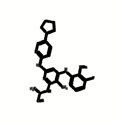 COc1c(F)cccc1Nc1cc(Nc2ccc(N3CCCC3)cn2)nc(NN(C)C=O)c1C